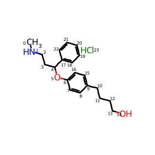 CNCCC(Oc1ccc(CCCCO)cc1)c1ccccc1.Cl